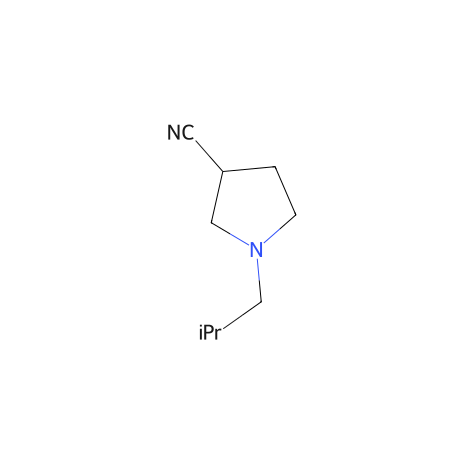 CC(C)CN1CCC(C#N)C1